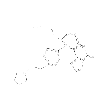 COc1ccc2[nH]c(=O)c3sccc3c2c1-c1ccc(CCN2CCCC2)cc1.Cl